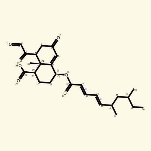 C=C(C=O)C1CC(=O)C=C2[C@@H](OC(=O)/C=C/C=C/C(C)CC(C)CC)CC[C@@H](C(=O)O)[C@@]21C